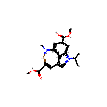 COC(=O)C1=Cc2cn(C(C)C)c3cc(C(=O)OC)cc(c23)N(C)S1